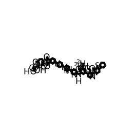 [2H]C([2H])([2H])n1cc(-c2ccnc(N3CCc4c(sc5c4CCCC5)C3=O)c2CO)cc(Nc2ccc(N3CCN(C4CCN(c5ccc6c(c5)C(=O)N([C@H]5CCC(=O)N(C(C)OP(=O)(O)O)C5=O)C6=O)CC4)C[C@@H]3C)cn2)c1=O